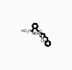 CO/N=C(/C(=O)O)c1ccccc1COc1cc(Cc2ccccc2)n(C)n1